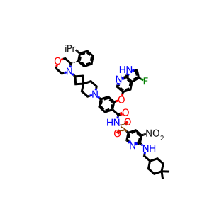 CC(C)c1ccccc1[C@H]1COCCN1C1CC2(CCN(c3ccc(C(=O)NS(=O)(=O)c4cnc(NCC5CCC(C)(C)CC5)c([N+](=O)[O-])c4)c(Oc4cnc5[nH]cc(F)c5c4)c3)CC2)C1